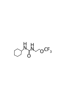 O=C(NCCOC(F)(F)F)NC1CCCCC1